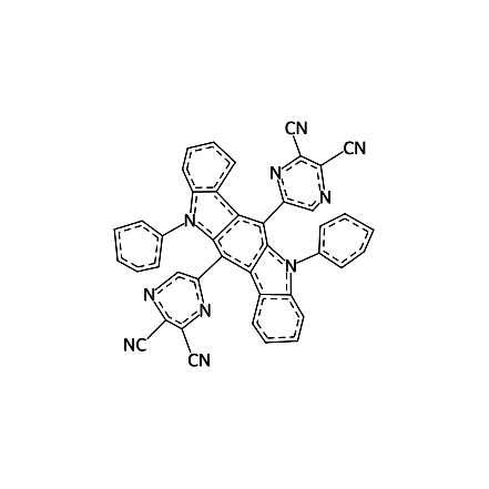 N#Cc1ncc(-c2c3c4ccccc4n(-c4ccccc4)c3c(-c3cnc(C#N)c(C#N)n3)c3c4ccccc4n(-c4ccccc4)c23)nc1C#N